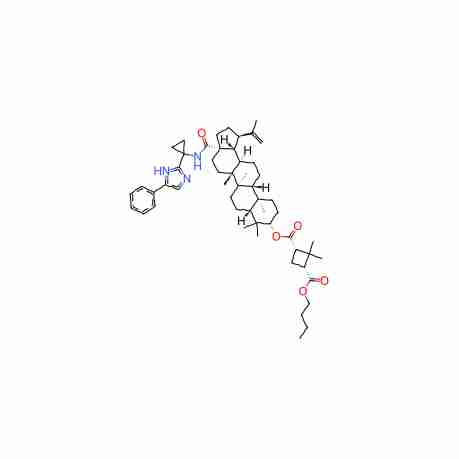 C=C(C)[C@@H]1CC[C@]2(C(=O)NC3(c4ncc(-c5ccccc5)[nH]4)CC3)CC[C@]3(C)[C@H](CC[C@@H]4[C@@]5(C)CC[C@H](OC(=O)[C@H]6C[C@@H](C(=O)OCCCC)C6(C)C)C(C)(C)[C@@H]5CC[C@]43C)[C@@H]12